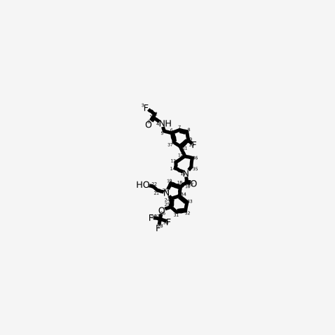 O=C(CF)NCc1ccc(F)c(C2CCN(C(=O)c3cn(CCO)c4c(OC(F)(F)F)cccc34)CC2)c1